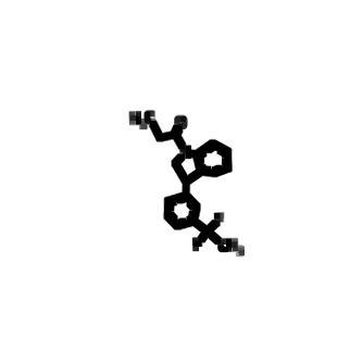 CCC(=O)N1CC(c2cccc(C(C)(F)F)c2)c2ccccc21